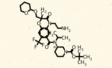 CC(C)N(C(=O)c1cc2c(cc1C(F)(F)F)OC(C)(COC1CCCCO1)C(=O)N2CCN)[C@@H]1CCCN(C(=O)OC(C)(C)C)C1